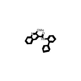 COc1nc2ccccc2cc1C(=O)Nc1ccccc1-c1ccccc1